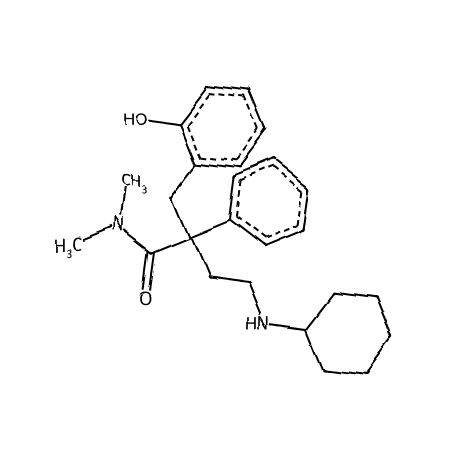 CN(C)C(=O)C(CCNC1CCCCC1)(Cc1ccccc1O)c1ccccc1